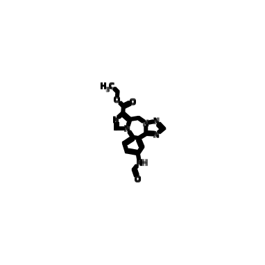 CCOC(=O)c1ncn2c1Cn1ncnc1-c1cc(NC=O)ccc1-2